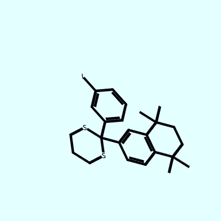 CC1(C)CCC(C)(C)c2cc(C3(c4cccc(I)c4)SCCCS3)ccc21